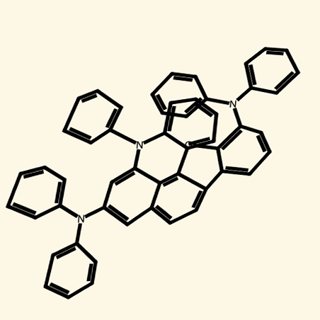 c1ccc(N(c2ccccc2)c2cc(N(c3ccccc3)c3ccccc3)c3c(ccc4c5cccc(N(c6ccccc6)c6ccccc6)c5oc43)c2)cc1